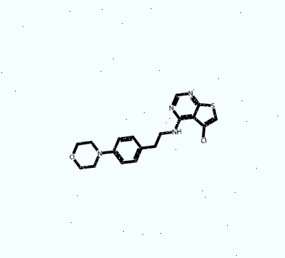 Clc1csc2ncnc(NCCc3ccc(N4CCOCC4)cc3)c12